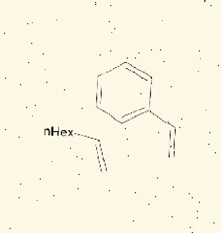 C=CCCCCCC.C=Cc1ccccc1